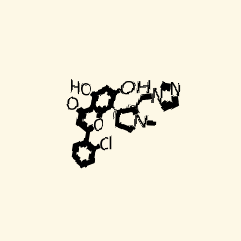 CN1CC[C@H](c2c(O)cc(O)c3c(=O)cc(-c4ccccc4Cl)oc23)[C@H]1Cn1ccnc1